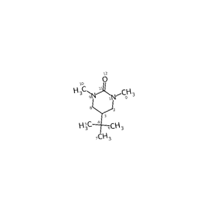 CN1CC(C(C)(C)C)CN(C)C1=O